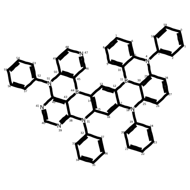 c1ccc(N2c3ccccc3B3c4cc5c(cc4N(c4ccccc4)c4cccc2c43)N(c2ccccc2)c2ncnc3c2B5c2cnccc2N3c2ccccc2)cc1